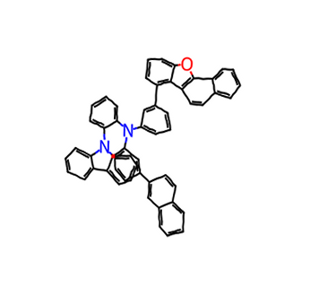 c1cc(-c2ccc3ccccc3c2)cc(N(c2cccc(-c3cccc4oc5c6ccccc6ccc5c34)c2)c2ccccc2-n2c3ccccc3c3ccccc32)c1